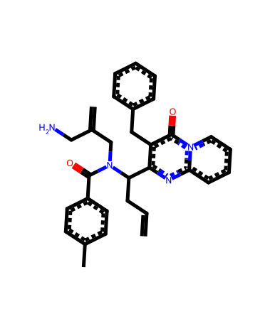 C=CCC(c1nc2ccccn2c(=O)c1Cc1ccccc1)N(CC(=C)CN)C(=O)c1ccc(C)cc1